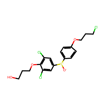 [O-][S+](c1ccc(OCCCCl)cc1)c1cc(Cl)c(OCCCO)c(Cl)c1